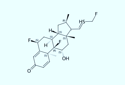 C[C@@H]1C[C@H]2[C@@H]3C[C@H](F)C4=CC(=O)C=C[C@]4(C)[C@@]3(F)[C@@H](O)C[C@@]2(C)[C]1C=[SH]CF